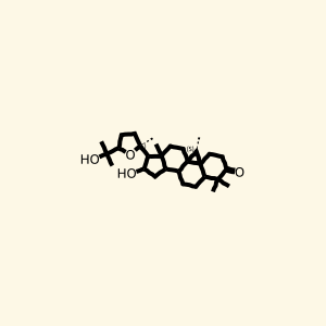 C[C@H]1C23CCC4(C)C(CC(O)C4[C@]4(C)CCC(C(C)(C)O)O4)C2CCC2C(C)(C)C(=O)CCC213